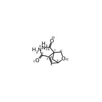 NC(=O)C1=CC2CC1(C(N)=O)CO2